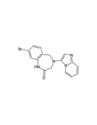 O=C1CN(c2cnc3ccccn23)Cc2ccc(Br)cc2N1